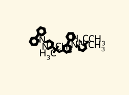 CC(C)(C)c1cccc(-n2c3ccccc3c3cc(CC(C)(C)c4ccc(-n5c6ccccc6c6ccccc65)nc4)ccc32)n1